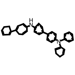 C1=CCCC(C2=CC=C(Nc3ccc(-c4ccc(N(C5=CCCC=C5)c5ccccc5)cc4)cc3)C=CC2)=C1